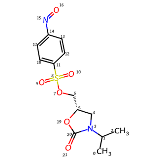 CC(C)N1C[C@@H](COS(=O)(=O)c2ccc(N=O)cc2)OC1=O